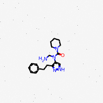 NCN(C(=O)N1CCCCC1)c1c[nH]nc1CCc1ccccc1